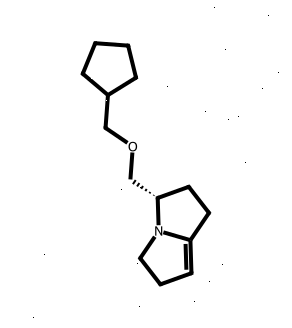 C1=C2CC[C@@H](COCC3CCCC3)N2CC1